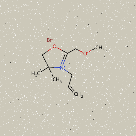 C=CC[N+]1=C(COC)OCC1(C)C.[Br-]